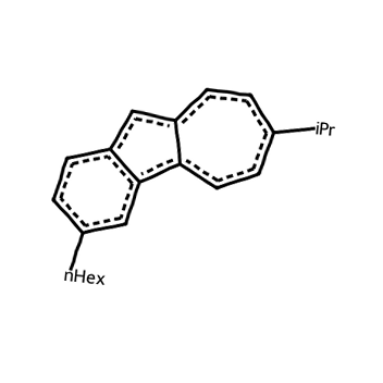 CCCCCCc1ccc2cc3ccc(C(C)C)ccc-3c2c1